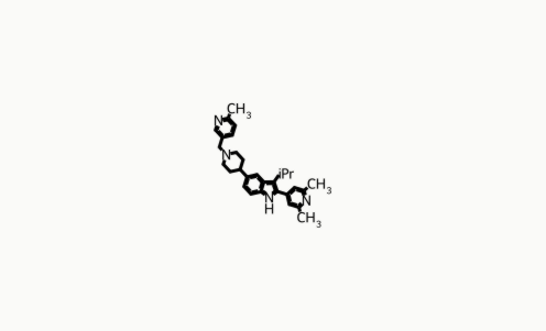 Cc1ccc(CN2CCC(c3ccc4[nH]c(-c5cc(C)nc(C)c5)c(C(C)C)c4c3)CC2)cn1